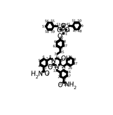 NC(=O)c1cccc(CN2C(=O)N(Cc3cccc(C(N)=O)c3)[C@H](Cc3ccccc3)[C@H](O)[C@H]2CCc2ccc(OCP(=O)(OCc3ccccc3)OCc3ccccc3)cc2)c1